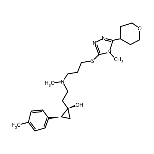 CN(CCCSc1nnc(C2CCOCC2)n1C)CC[C@]1(O)C[C@H]1c1ccc(C(F)(F)F)cc1